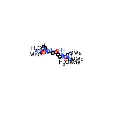 C=C(N[C@H](C(=O)N1C[C@@H](COC)C[C@H]1c1nc2ccc3cc4c(cc3c2[nH]1)OCc1cc(-c2cnc([C@@H]3CC[C@@H]5CC(C)[C@H](NC(=O)OC)C(=O)N53)[nH]2)ccc1-4)[C@@H](C)OC)OC